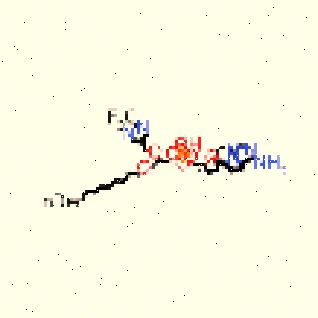 CCCCCCCCCCCCCCCCCCOC[C@H](COP(=O)(O)OC[C@@H]1CC[C@](C#N)(c2ccc3c(N)ncnn23)O1)OCc1cnc(C(F)(F)F)nc1